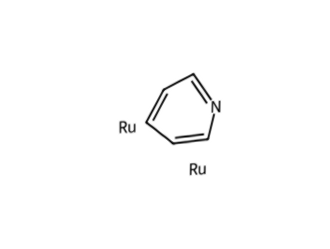 [Ru].[Ru].c1ccncc1